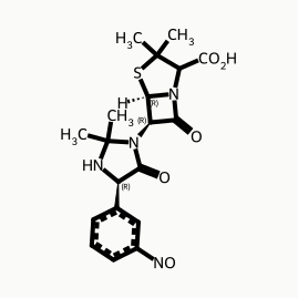 CC1(C)S[C@@H]2[C@H](N3C(=O)[C@@H](c4cccc(N=O)c4)NC3(C)C)C(=O)N2C1C(=O)O